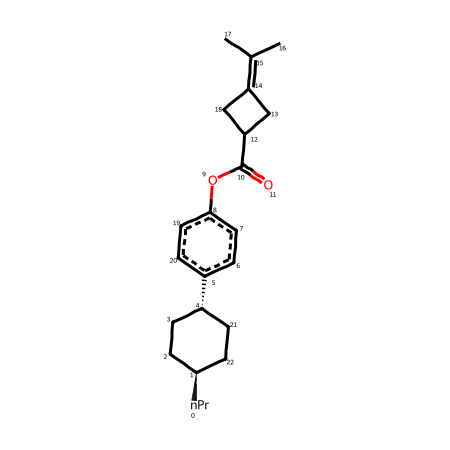 CCC[C@H]1CC[C@H](c2ccc(OC(=O)C3CC(=C(C)C)C3)cc2)CC1